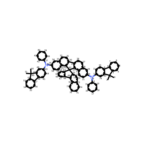 CC1(C)c2ccccc2-c2ccc(N(c3ccccc3)c3ccc4c5c(ccc4c3)-c3ccc4cc(N(c6ccccc6)c6ccc7c(c6)C(C)(C)c6ccccc6-7)ccc4c3C53c4ccccc4-c4c3ccc3ccccc43)cc21